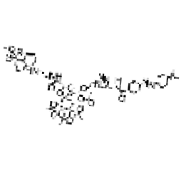 CC(=O)OC[C@H]1O[C@@H](OC(CC(=O)NCCNc2cccc3c(S(=O)(=O)O)cccc23)OCCOCCn2cc(CNC(=O)c3ccc(/N=N/c4ccc(N(C)C)cc4)cc3)nn2)[C@H](OC(C)=O)[C@@H](OC(C)=O)[C@@H]1OC(C)=O